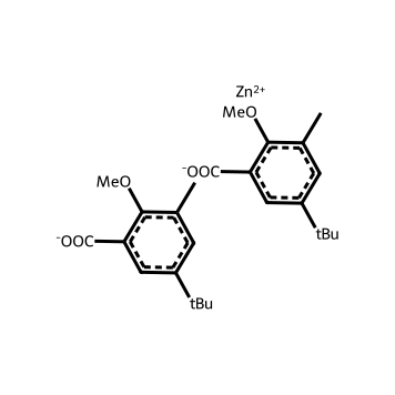 COc1c(C)cc(C(C)(C)C)cc1C(=O)[O-].COc1c(C)cc(C(C)(C)C)cc1C(=O)[O-].[Zn+2]